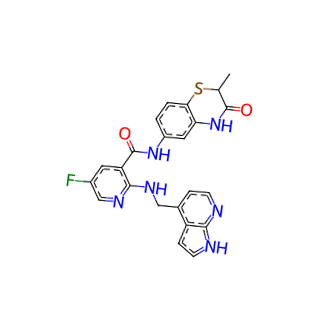 CC1Sc2ccc(NC(=O)c3cc(F)cnc3NCc3ccnc4[nH]ccc34)cc2NC1=O